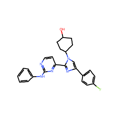 OC1CCC(n2cc(-c3ccc(F)cc3)nc2-c2ccnc(Nc3ccccc3)n2)CC1